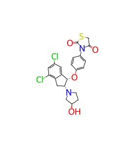 O=C1CSC(=O)N1c1ccc(O[C@H]2c3cc(Cl)cc(Cl)c3C[C@H]2N2CC[C@@H](O)C2)cc1